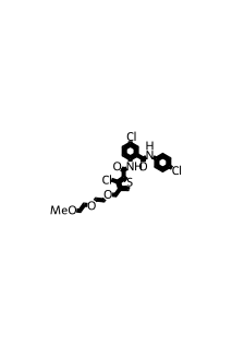 COCCOCCOCc1csc(C(=O)Nc2ccc(Cl)cc2C(=O)Nc2ccc(Cl)cc2)c1Cl